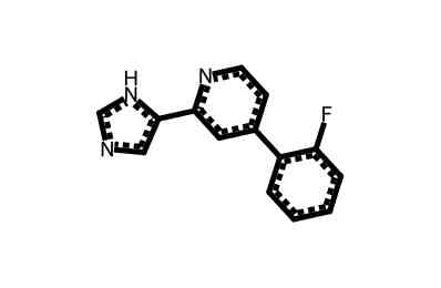 Fc1ccccc1-c1ccnc(-c2cnc[nH]2)c1